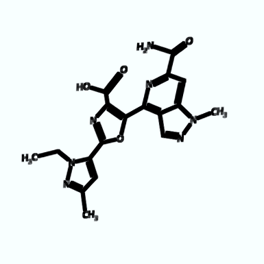 CCn1nc(C)cc1-c1nc(C(=O)O)c(-c2nc(C(N)=O)cc3c2cnn3C)o1